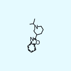 CC(C)N1CCCC(c2nc3ccccc3o2)C1